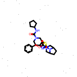 O=C(NC1CCCC1)N1CCc2nc(N3C4CCC3CN(C(=O)OCc3ccccc3)C4)sc2C1